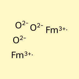 [Fm+3].[Fm+3].[O-2].[O-2].[O-2]